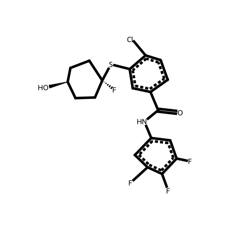 O=C(Nc1cc(F)c(F)c(F)c1)c1ccc(Cl)c(S[C@]2(F)CC[C@H](O)CC2)c1